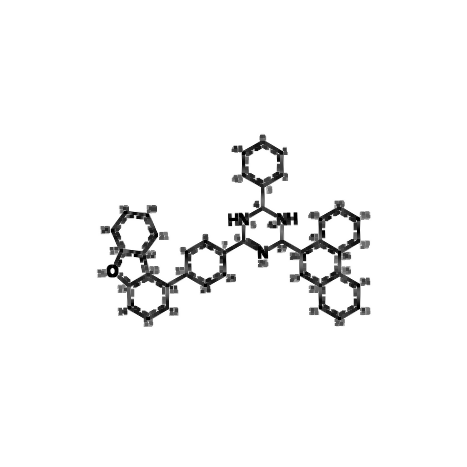 c1ccc(C2NC(c3ccc(-c4cccc5oc6ccccc6c45)cc3)=NC(c3cc4ccccc4c4ccccc34)N2)cc1